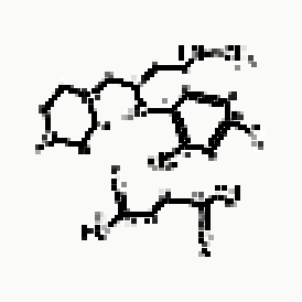 CNCC[C@H](CN1CCOCC1)Oc1ccc(Cl)cc1Cl.O=C(O)CCC(=O)O